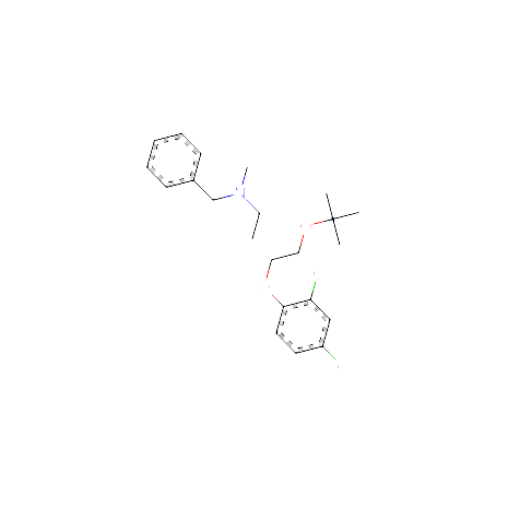 CN(CC[C@H](COC(C)(C)C)Oc1ccc(Cl)cc1Cl)Cc1ccccc1